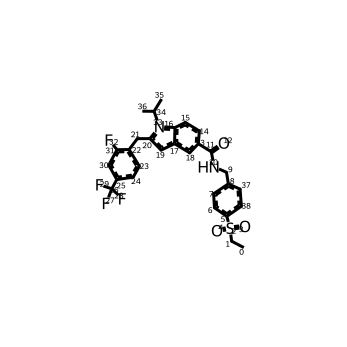 CCS(=O)(=O)c1ccc(CNC(=O)c2ccc3c(c2)cc(Cc2ccc(C(F)(F)F)cc2F)n3C(C)C)cc1